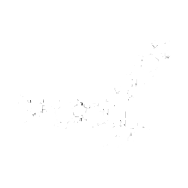 COC(=O)NC(C(=O)N1C[C@H](OC(=O)N2Cc3cc4c(cc3C2)OCO4)C[C@H]1c1nc2cc(B3OC(C)(C)C(C)(C)O3)ccc2[nH]1)C(C)C